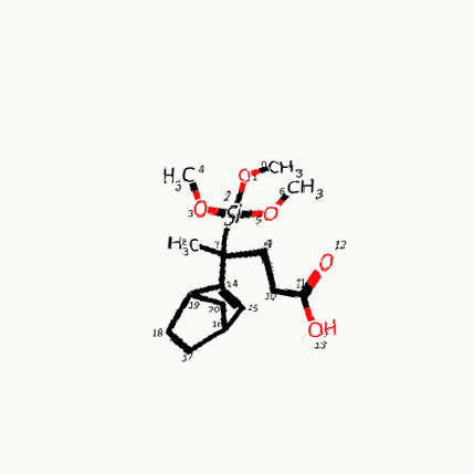 CO[Si](OC)(OC)C(C)(CCC(=O)O)C1=CC2CCC1C2